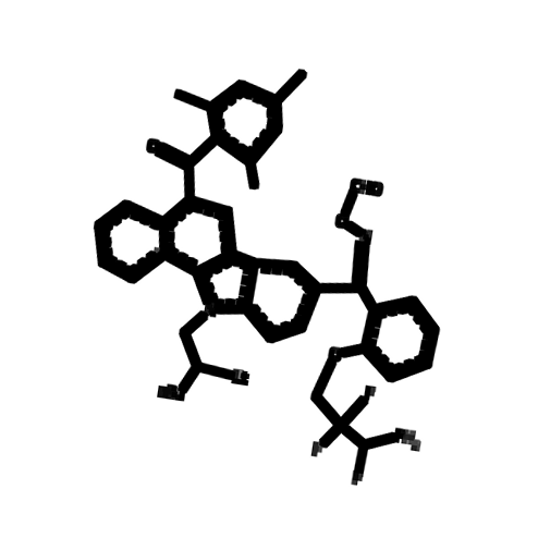 CCCCC(CC)Cn1c2ccc(/C(=N\OC=O)c3ccccc3OCC(F)(F)C(F)P)cc2c2cc(C(=O)c3c(C)cc(C)cc3C)c3ccccc3c21